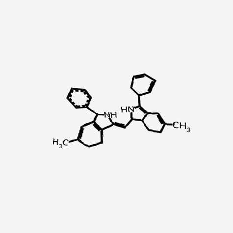 CC1=CC2=C(CC1)/C(=C/C1NC(C3C=CC=CC3)=C3C=C(C)CCC31)NC2c1ccccc1